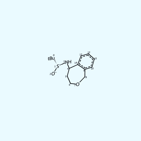 CC(C)(C)[S@@+]([O-])NC1CCOCc2ccccc21